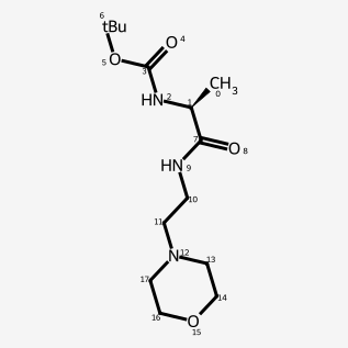 C[C@H](NC(=O)OC(C)(C)C)C(=O)NCCN1CCOCC1